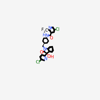 O=C(N[C@H]1CC[C@H](CN2C(=O)C(O)(c3ccc(Cl)cn3)c3ccccc32)CC1)c1cc(Cl)cnc1C(F)(F)F